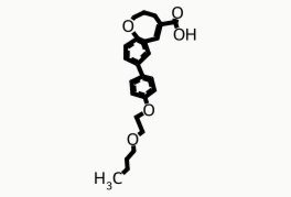 CCCCOCCOc1ccc(-c2ccc3c(c2)/C=C(/C(=O)O)CCCO3)cc1